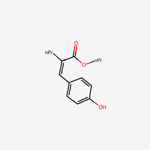 CCCOC(=O)C(=Cc1ccc(O)cc1)CCC